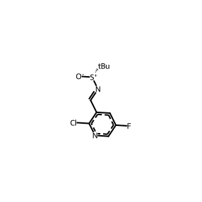 CC(C)(C)[S@@+]([O-])/N=C/c1cc(F)cnc1Cl